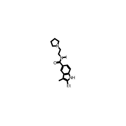 CCc1[nH]c2ccc(C(=O)N(I)CCN3CCCC3)cc2c1C